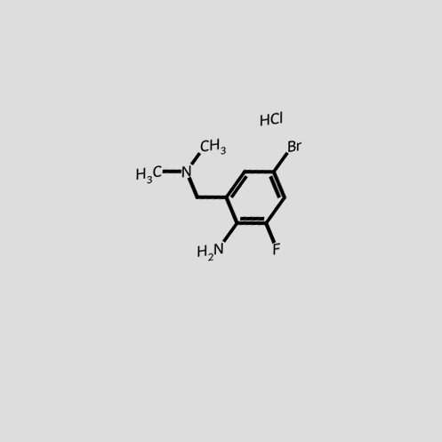 CN(C)Cc1cc(Br)cc(F)c1N.Cl